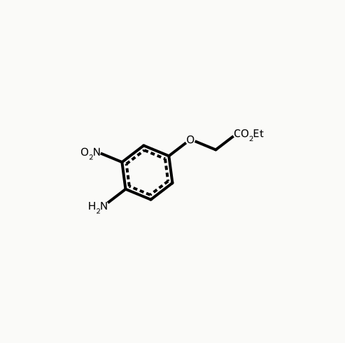 CCOC(=O)COc1ccc(N)c([N+](=O)[O-])c1